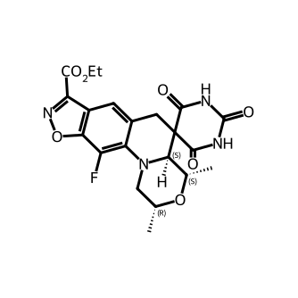 CCOC(=O)c1noc2c(F)c3c(cc12)CC1(C(=O)NC(=O)NC1=O)[C@H]1[C@H](C)O[C@H](C)CN31